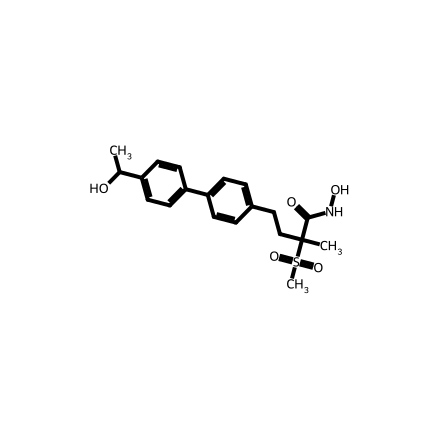 CC(O)c1ccc(-c2ccc(CCC(C)(C(=O)NO)S(C)(=O)=O)cc2)cc1